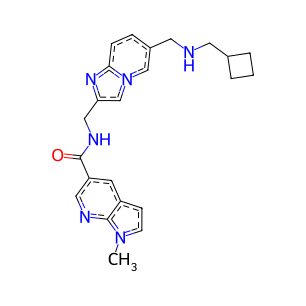 Cn1ccc2cc(C(=O)NCc3cn4cc(CNCC5CCC5)ccc4n3)cnc21